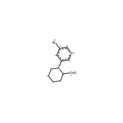 O=CC1CCCCN1c1cncc(Br)c1